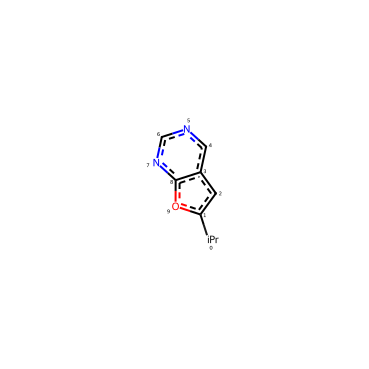 CC(C)c1cc2cncnc2o1